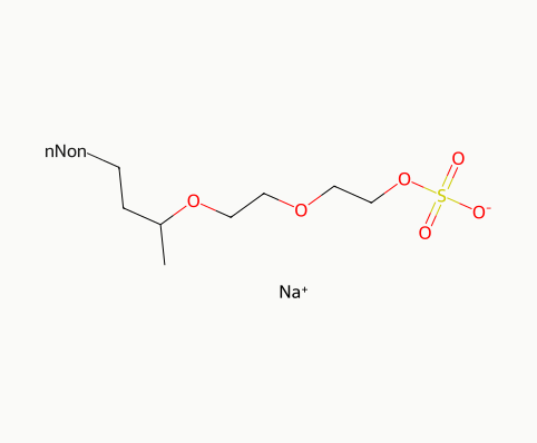 CCCCCCCCCCCC(C)OCCOCCOS(=O)(=O)[O-].[Na+]